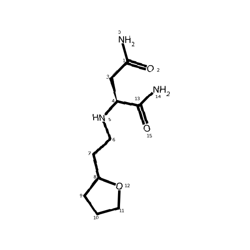 NC(=O)C[C@H](NCCC1CCCO1)C(N)=O